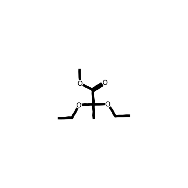 CCOC(C)(OCC)C(=O)OC